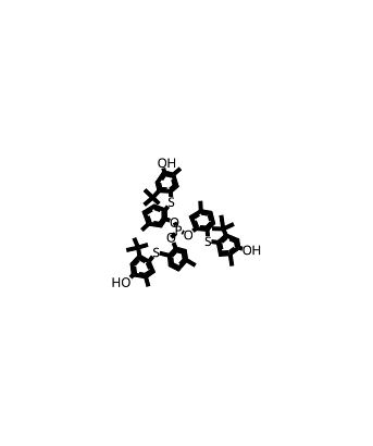 Cc1ccc(Sc2cc(C)c(O)cc2C(C)(C)C)c(OP(Oc2cc(C)ccc2Sc2cc(C)c(O)cc2C(C)(C)C)Oc2cc(C)ccc2Sc2cc(C)c(O)cc2C(C)(C)C)c1